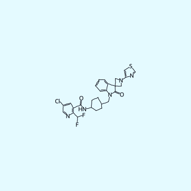 O=C(NC1CCC(CN2C(=O)C3(CN(c4cscn4)C3)c3ccccc32)CC1)c1cc(Cl)cnc1C(F)F